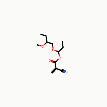 C=C(C#N)C(=O)OC(CC)OCC(CC)OC